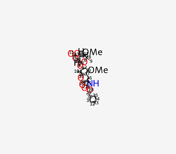 COc1cc(O[C@@H]2OC(C)(C)[C@H](OC)[C@@H]3OC(=O)O[C@H]23)c(C)c2oc(=O)c(NC(=O)OCc3ccccc3)cc12